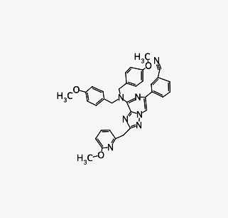 COc1ccc(CN(Cc2ccc(OC)cc2)c2nc(-c3cccc(C#N)c3)cn3nc(Cc4cccc(OC)n4)nc23)cc1